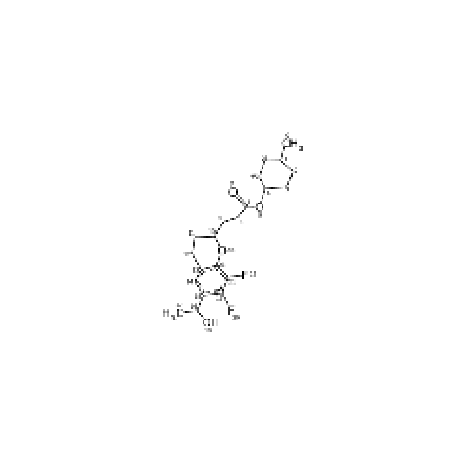 CC1CCC(OC(=O)CCC2CCc3cc(C(C)O)c(F)c(F)c3O2)CC1